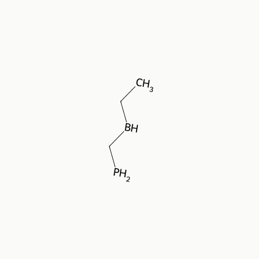 CCBCP